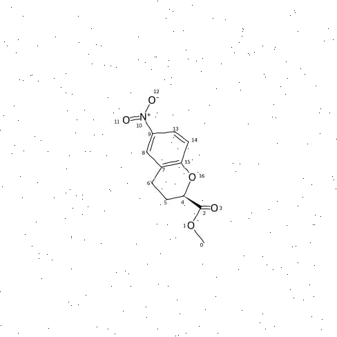 COC(=O)[C@H]1CCc2cc([N+](=O)[O-])ccc2O1